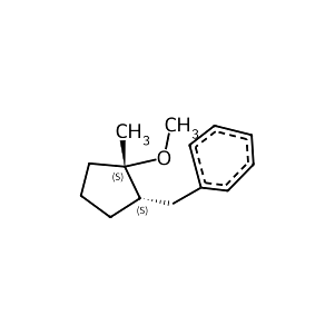 CO[C@@]1(C)CCC[C@H]1Cc1ccccc1